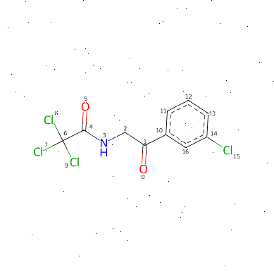 O=C(CNC(=O)C(Cl)(Cl)Cl)c1cccc(Cl)c1